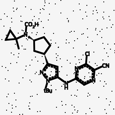 CC1(N(C(=O)O)[C@@H]2CC[C@H](c3cc(Nc4cnc(C#N)c(Cl)n4)n(C(C)(C)C)n3)C2)CC1